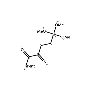 CCCCCC(=O)C(=S)CC[Si](OC)(OC)OC